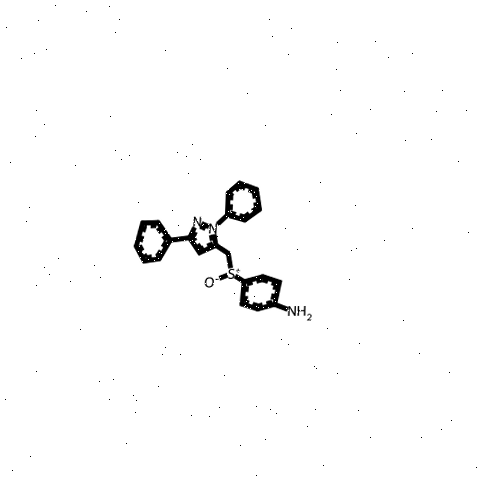 Nc1ccc([S+]([O-])Cc2cc(-c3ccccc3)nn2-c2ccccc2)cc1